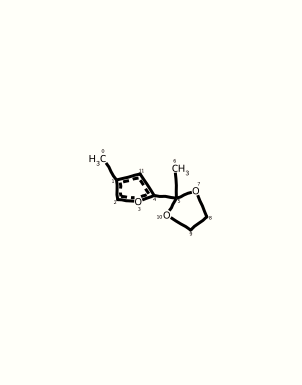 Cc1coc(C2(C)OCCO2)c1